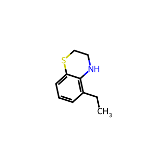 CCc1cccc2c1NCCS2